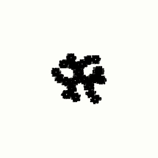 c1ccc(-c2ccc(-c3ccc(N(c4ccc(N(c5ccc(N(c6ccc(-c7ccc(-c8ccccc8)s7)cc6)c6ccc7c(c6)c6ccccc6n7-c6ccccc6)cc5)c5ccc(N(c6ccc(-c7ccc(-c8ccccc8)s7)cc6)c6ccc7c(c6)c6ccccc6n7-c6ccccc6)cc5)cc4)c4ccc5c(c4)c4ccccc4n5-c4ccccc4)cc3)s2)cc1